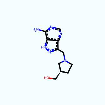 Nc1ncnc2c(CN3CC[C@@H](CO)C3)n[nH]c12